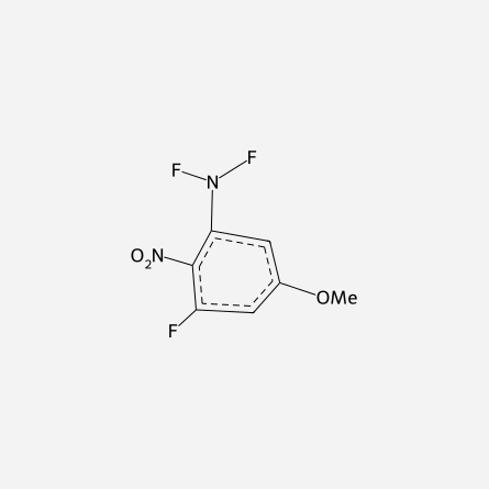 COc1cc(F)c([N+](=O)[O-])c(N(F)F)c1